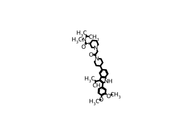 COc1ccc(-c2[nH]c3ccc(C4CCN(C(=O)CN5CCC[C@H](C(=O)N(C)C(C)C)C5)CC4)cc3c2C(C)C)cc1OC